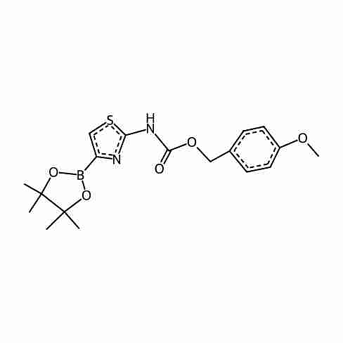 COc1ccc(COC(=O)Nc2nc(B3OC(C)(C)C(C)(C)O3)cs2)cc1